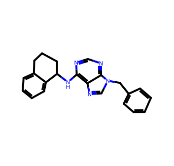 c1ccc(Cn2cnc3c(NC4CCCc5ccccc54)ncnc32)cc1